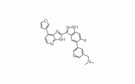 CN(C)Cc1cncc(-c2cc3c(-c4nc5c(-c6ccoc6)ccnc5[nH]4)n[nH]c3cc2F)c1